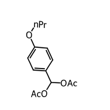 CCCOc1ccc(C(OC(C)=O)OC(C)=O)cc1